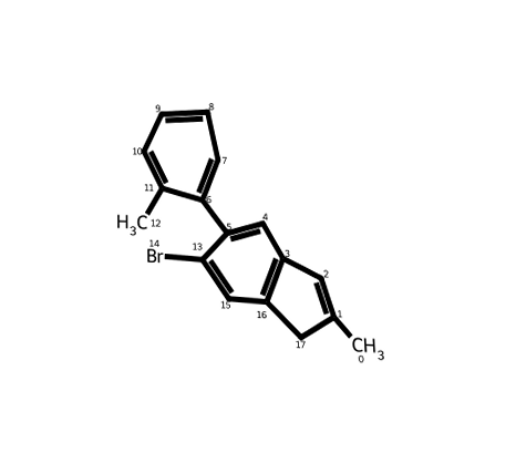 CC1=Cc2cc(-c3ccccc3C)c(Br)cc2C1